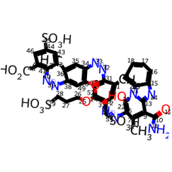 Cc1cc(/N=N\c2c(C)c(C(N)=O)c3nc4ccccc4n3c2O)c(OCCCS(=O)(=O)O)cc1/N=N\c1cc(C)c(/N=N\c2ccc(S(=O)(=O)O)cc2C(=O)O)cc1OCCCS(=O)(=O)O